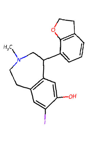 CN1CCc2cc(I)c(O)cc2C(c2cccc3c2OCC3)C1